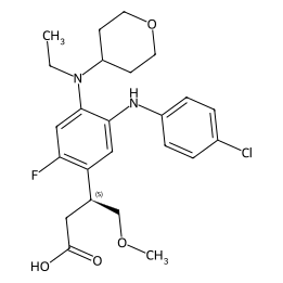 CCN(c1cc(F)c([C@@H](COC)CC(=O)O)cc1Nc1ccc(Cl)cc1)C1CCOCC1